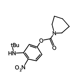 CC(C)(C)Nc1cc(OC(=O)N2CCCCC2)ccc1[N+](=O)[O-]